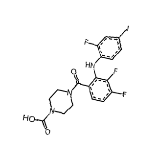 O=C(O)N1CCN(C(=O)c2ccc(F)c(F)c2Nc2ccc(I)cc2F)CC1